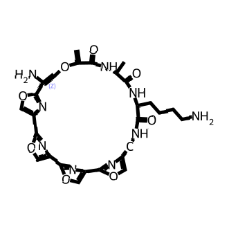 C=C1O/C=C(\N)c2nc(co2)-c2nc(co2)-c2nc(co2)-c2nc(co2)CNC(=O)C(CCCCN)NC(=O)C(C)NC1=O